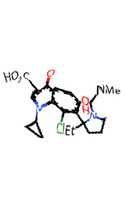 CCC1(c2c(O)cc3c(=O)c(C(=O)O)cn(C4CC4)c3c2Cl)CCCN1CNC